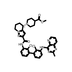 COC(=O)C1CCN([C@H]2CCCn3nc(C(=O)Nc4cccc(-c5cccc(Nc6nc(C)nc7cccnc67)c5Cl)c4Cl)cc32)CC1